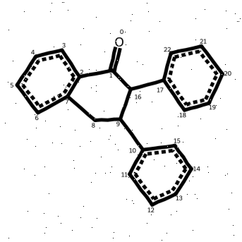 O=C1c2ccccc2CC(c2ccccc2)C1c1ccccc1